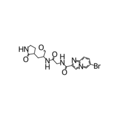 O=CC(CC1CCNC1=O)NC(=O)CNC(=O)c1cn2cc(Br)ccc2n1